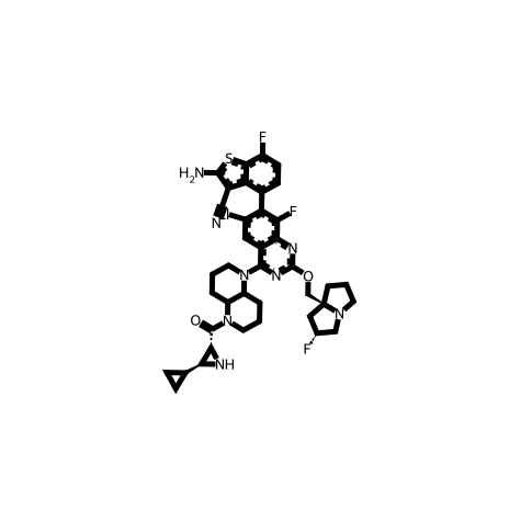 N#Cc1c(N)sc2c(F)ccc(-c3c(Cl)cc4c(N5CCCC6C5CCCN6C(=O)[C@@H]5N[C@H]5C5CC5)nc(OC[C@@]56CCCN5C[C@H](F)C6)nc4c3F)c12